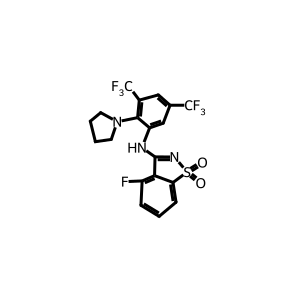 O=S1(=O)N=C(Nc2cc(C(F)(F)F)cc(C(F)(F)F)c2N2CCCC2)c2c(F)cccc21